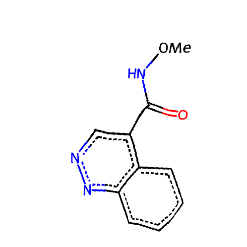 CONC(=O)c1cnnc2ccccc12